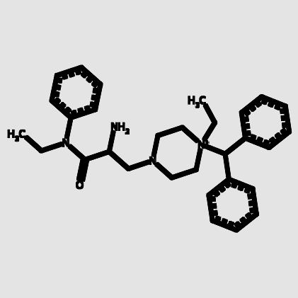 CCN(C(=O)C(N)CN1CC[N+](CC)(C(c2ccccc2)c2ccccc2)CC1)c1ccccc1